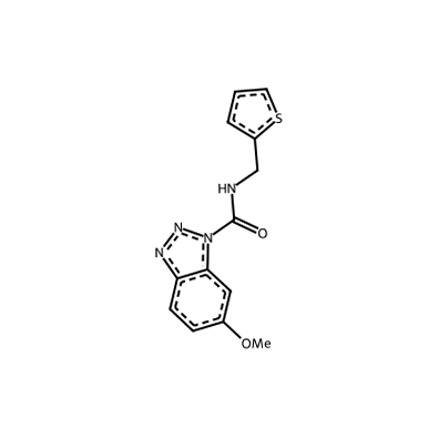 COc1ccc2nnn(C(=O)NCc3cccs3)c2c1